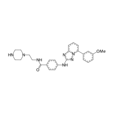 COc1cccc(-c2cccc3nc(Nc4ccc(C(=O)NCCN5CCNCC5)cc4)nn23)c1